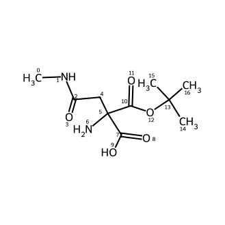 CNC(=O)CC(N)(C(=O)O)C(=O)OC(C)(C)C